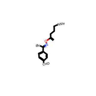 C=C(CCCNC)O/N=C(/c1ccc(C=O)cc1)C(C)CC